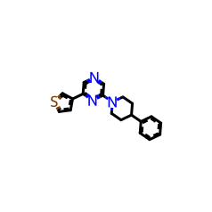 c1ccc(C2CCN(c3cncc(-c4ccsc4)n3)CC2)cc1